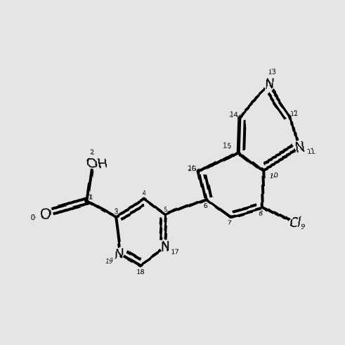 O=C(O)c1cc(-c2cc(Cl)c3ncncc3c2)ncn1